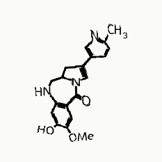 COc1cc2c(cc1O)NCC1CC(c3ccc(C)nc3)=CN1C2=O